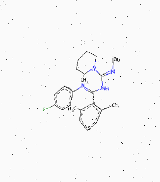 CCC(C)/N=C(/N/C(=N/c1ccc(F)cc1)c1c(C)cccc1C)N1CCCCC1C